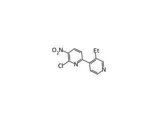 CCc1cnccc1-c1ccc([N+](=O)[O-])c(Cl)n1